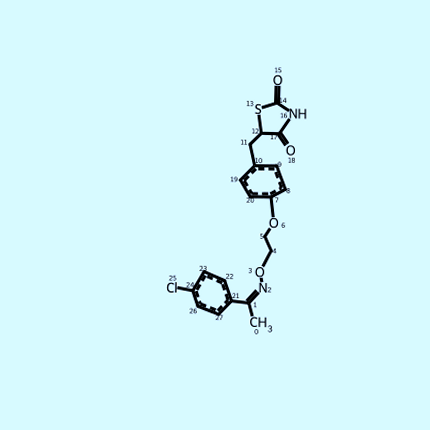 CC(=NOCCOc1ccc(CC2SC(=O)NC2=O)cc1)c1ccc(Cl)cc1